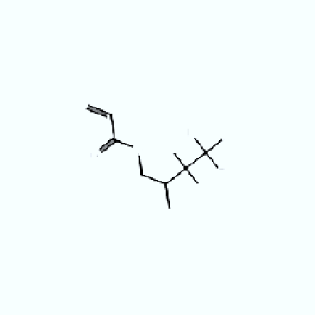 C=CC(=O)OCC(C)C(F)(F)C(F)(F)F